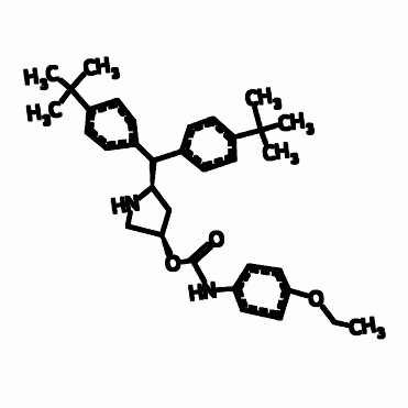 CCOc1ccc(NC(=O)O[C@H]2CN[C@@H](C(c3ccc(C(C)(C)C)cc3)c3ccc(C(C)(C)C)cc3)C2)cc1